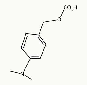 CN(C)c1ccc(COC(=O)O)cc1